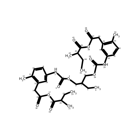 CCC(COC(=O)Nc1ccc(C)c(CC(=O)OC(=O)C(C)CC)c1)COC(=O)Nc1ccc(C)c(CC(=O)OC(=O)C(C)CC)c1